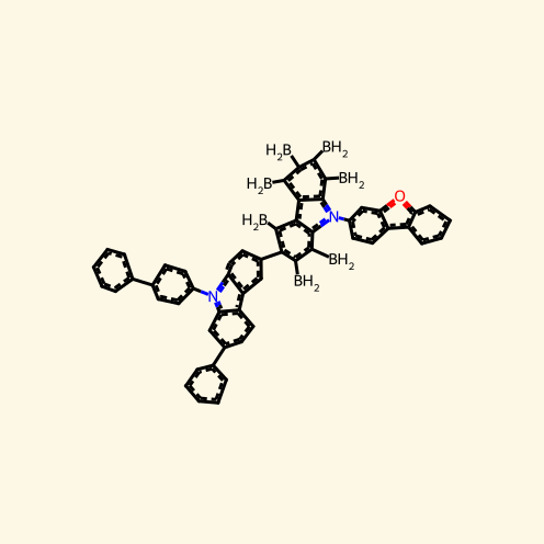 Bc1c(B)c(B)c2c(c1B)c1c(B)c(-c3ccc4c(c3)c3ccc(-c5ccccc5)cc3n4-c3ccc(-c4ccccc4)cc3)c(B)c(B)c1n2-c1ccc2c(c1)oc1ccccc12